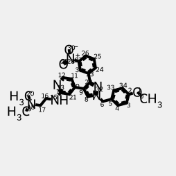 COc1ccc(Cn2cc(-c3ccnc(NCCN(C)C)c3)c(-c3cccc([N+](=O)[O-])c3)n2)cc1